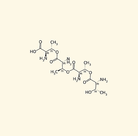 C[C@H](O)[C@@H](N)C(=O)O[C@@H](C)[C@@H](N)C(=O)O[C@@H](C)[C@@H](N)C(=O)O[C@@H](C)[C@@H](N)C(=O)O